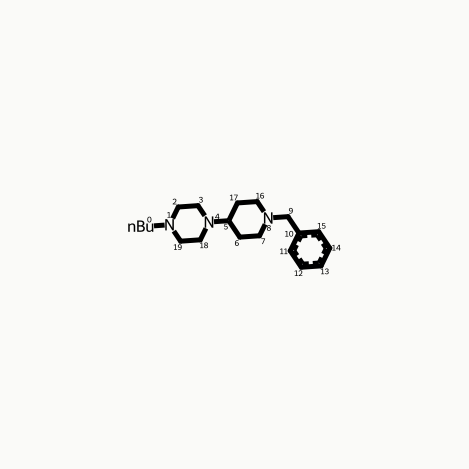 CCCCN1CCN(C2CCN(Cc3ccccc3)CC2)CC1